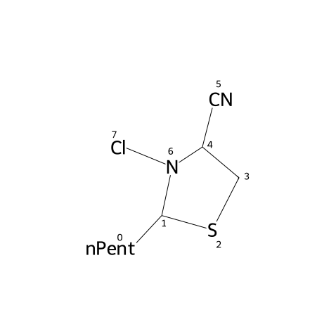 CCCCCC1SCC(C#N)N1Cl